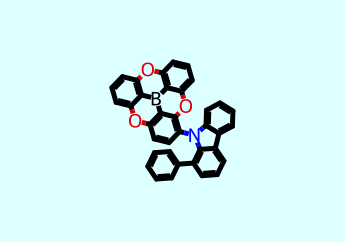 c1ccc(-c2cccc3c4ccccc4n(-c4ccc5c6c4Oc4cccc7c4B6c4c(cccc4O5)O7)c23)cc1